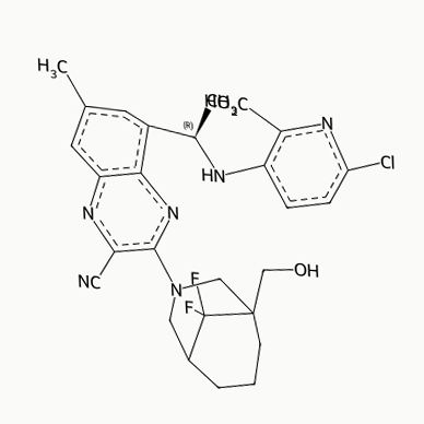 Cc1cc([C@@H](C)Nc2ccc(Cl)nc2C(=O)O)c2nc(N3CC4CCCC(CO)(C3)C4(F)F)c(C#N)nc2c1